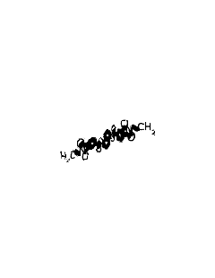 C=CCN1C(=O)c2ccc(C(=O)Oc3cccc4c(OC(=O)c5ccc6c(c5)C(=O)N(CC=C)C6=O)cccc34)cc2C1=O